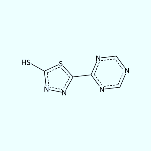 Sc1nnc(-c2ncncn2)s1